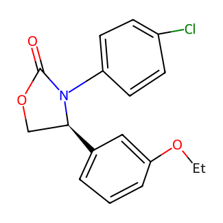 CCOc1cccc([C@H]2COC(=O)N2c2ccc(Cl)cc2)c1